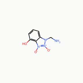 NCn1c2cccc(O)c2[n+]([O-])[n+]1[O-]